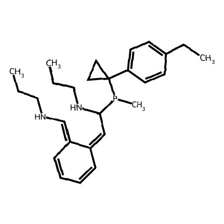 CCCN/C=c1\cccc\c1=C\C(NCCC)P(C)C1(c2ccc(CC)cc2)CC1